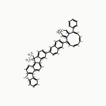 C/C=c1/c(-c2ccccc2)ccccccc(-c2ccc3cc(-c4ccc5c(c4)-c4ccc6c(ccc7oc8ccccc8c76)c4C5(C)C)ccc3c2)/c1=C/C